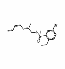 C=C/C=C\C=C(/C)CNC(=O)c1cc(Br)ccc1CC